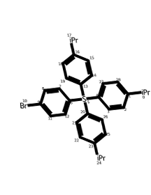 CC(C)c1ccc(S(c2ccc(Br)cc2)(c2ccc(C(C)C)cc2)c2ccc(C(C)C)cc2)cc1